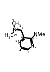 CNc1nccnc1CN(C)C